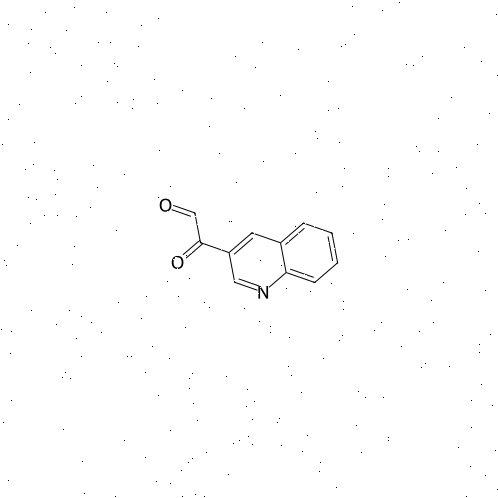 O=CC(=O)c1cnc2ccccc2c1